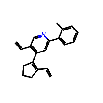 C=CC1=C(c2cc(-c3ccccc3C)ncc2C=C)CCC1